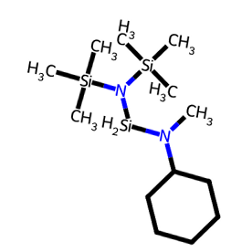 CN([SiH2]N([Si](C)(C)C)[Si](C)(C)C)C1CCCCC1